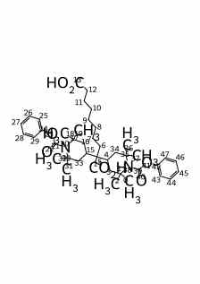 CC1(C)CC(C(CCCCCCCC(=O)O)(C(=O)O)C2CC(C)(C)N(C(=O)Oc3ccccc3)C(C)(C)C2)CC(C)(C)N1C(=O)Oc1ccccc1